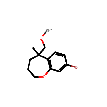 CCCOCC1(C)CCCOc2cc(Br)ccc21